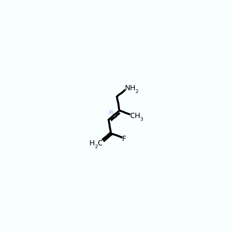 C=C(F)/C=C(\C)CN